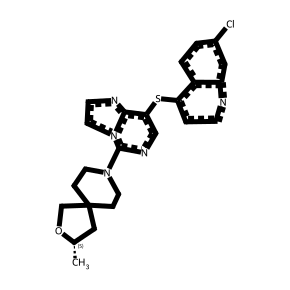 C[C@H]1CC2(CCN(c3ncc(Sc4ccnc5cc(Cl)ccc45)c4nccn34)CC2)CO1